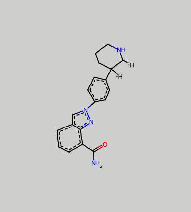 [2H]C1NCCCC1([2H])c1ccc(-n2cc3cccc(C(N)=O)c3n2)cc1